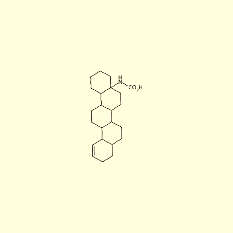 O=C(O)NC12CCCCC1C1CCC3C4C=CCCC4CCC3C1CC2